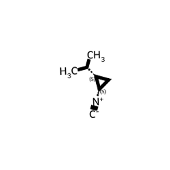 [C-]#[N+][C@H]1C[C@H]1C(C)C